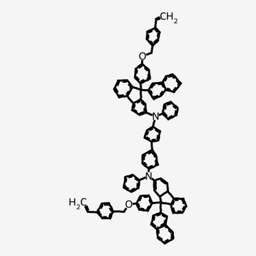 C=Cc1ccc(COc2ccc(C3(c4ccc5ccccc5c4)c4ccccc4-c4ccc(N(c5ccccc5)c5ccc(-c6ccc(N(C7=CC8C(C=C7)c7ccccc7C8(c7ccc(OCc8ccc(C=C)cc8)cc7)c7ccc8ccccc8c7)c7ccccc7)cc6)cc5)cc43)cc2)cc1